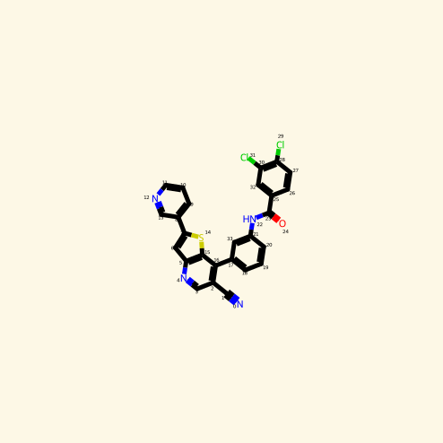 N#Cc1cnc2cc(-c3cccnc3)sc2c1-c1cccc(NC(=O)c2ccc(Cl)c(Cl)c2)c1